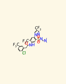 CN(C)C=NS(=O)(=O)c1cc(NC(=O)Cc2cc(C(F)(F)F)ccc2Cl)c(C(F)(F)F)cc1-n1cc(C(F)(F)F)cn1